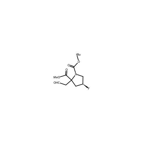 COC(=O)C1(CC=O)C[C@H](F)CN1C(=O)OC(C)(C)C